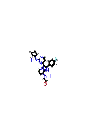 COCCNc1cccn2c(-c3ccnc(NC4CCCC4)n3)c(-c3ccc(F)cc3)nc12